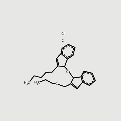 CCCCCC1=Cc2ccccc2[CH]1[Zr+2][CH]1C(CCCCC)=Cc2ccccc21.[Cl-].[Cl-]